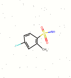 Cc1cc(F)ccc1S([NH])(=O)=O